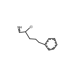 N=CC(Cl)CCCc1cc[c]cc1